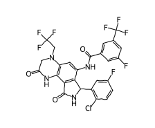 O=C1CN(CC(F)(F)F)c2cc(NC(=O)c3cc(F)cc(C(F)(F)F)c3)c3c(c2N1)C(=O)NC3c1cc(F)ccc1Cl